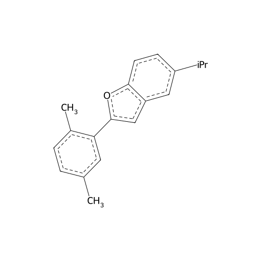 Cc1ccc(C)c(-c2cc3cc(C(C)C)ccc3o2)c1